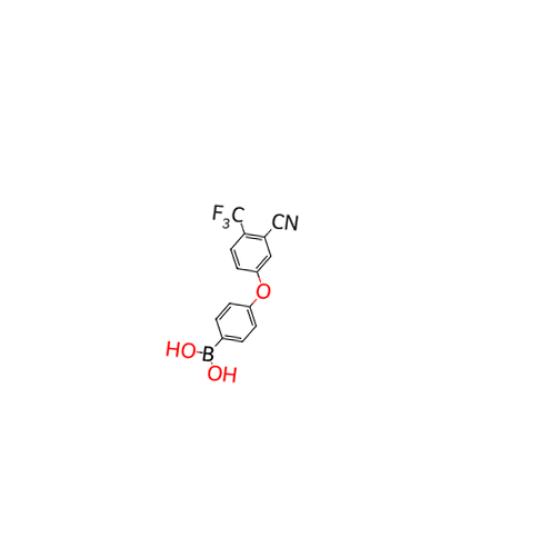 N#Cc1cc(Oc2ccc(B(O)O)cc2)ccc1C(F)(F)F